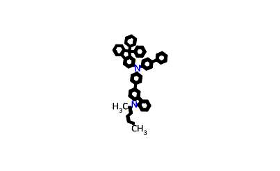 CC/C=C\C=C(/C)n1c2ccccc2c2cc(-c3ccc(N(c4ccc(-c5ccccc5)cc4)c4ccc5c(c4)C(c4ccccc4)(C4C=CC=CC4)C4=C5C=CCC4)cc3)ccc21